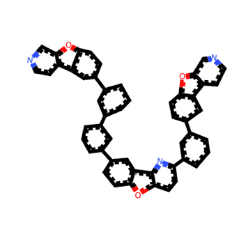 c1cc(-c2cccc(-c3ccc4oc5ccc(-c6cccc(-c7ccc8oc9cnccc9c8c7)c6)nc5c4c3)c2)cc(-c2ccc3oc4cnccc4c3c2)c1